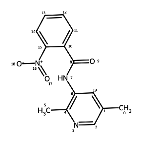 Cc1cnc(C)c(NC(=O)c2ccccc2[N+](=O)[O-])c1